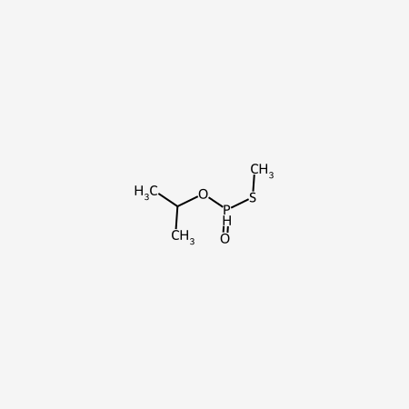 CS[PH](=O)OC(C)C